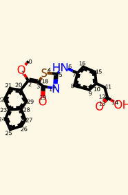 COC(=C1SC(Nc2ccc(CC(=O)O)cc2)=NC1=O)c1ccc2ccccc2c1